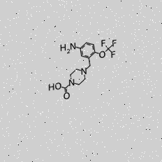 Nc1ccc(OC(F)(F)F)c(CN2CCN(C(=O)O)CC2)c1